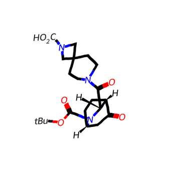 CC(C)(C)OC(=O)N1[C@H]2CC[C@H](C(=O)C2)[C@H]1C(=O)N1CCC2(CC1)CN(C(=O)O)C2